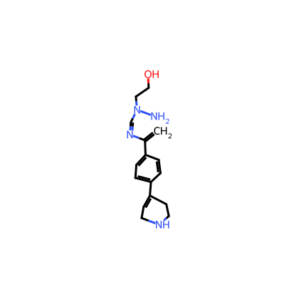 C=C(/N=C\N(N)CCO)c1ccc(C2=CCNCC2)cc1